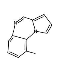 Cc1cccc2ncc3cccn3c12